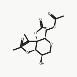 CC(=O)OC[C@H]1O[CH][C@@H](O)[C@@H](OC(C)=O)[C@@]1(OC(C)=O)C(C)=O